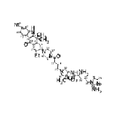 CCc1cc2c(cc1N1CCN(C(=O)CCCN3C[C@H](NC(=O)[C@@H](N)CCCn4ccnc4N)C(C)(C)C3)CC1)C(C)(C)c1[nH]c3cc(C#N)ccc3c1C2=O